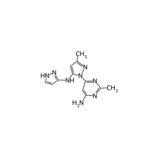 Cc1cc(Nc2cc[nH]n2)n(-c2cc(N)nc(C)n2)n1